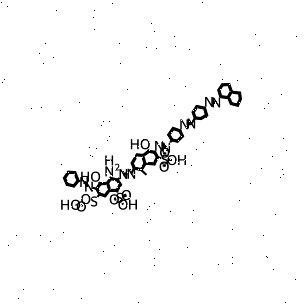 Cc1c(N=Nc2cc(S(=O)(=O)O)c3cc(SOOO)c(N=Nc4ccccc4)c(O)c3c2N)ccc2c(O)c(N=Nc3ccc(N=Nc4ccc(N=Nc5cccc6ccccc56)cc4)cc3)c(S(=O)(=O)O)cc12